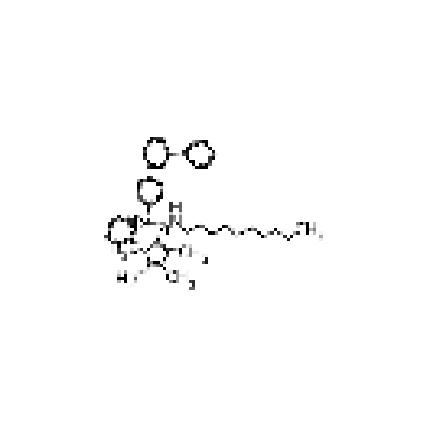 CCCCCCCCCC[NH][Zr]([C]1=C(C)C(C)=C(C)C1C)[SiH](c1ccccc1)c1ccccc1.c1ccc(-c2ccccc2)cc1